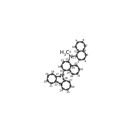 CN(c1cccc2ccccc12)c1ccc(-n2c3ccccc3c3ccccc32)c2ccccc12